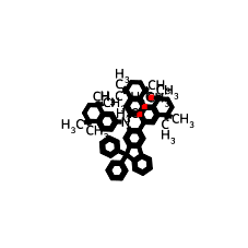 Cc1cc2c(cc1-c1cc3c(cc1N(c1ccc4c(c1)C(C)(C)CCC4(C)C)c1ccc4c(c1)C(C)(C)CCC4(C)C)C(c1ccccc1)(c1ccccc1)c1ccccc1-3)C(C)(C)CCC2(C)C